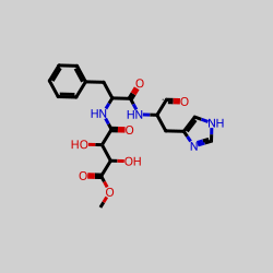 COC(=O)C(O)C(O)C(=O)NC(Cc1ccccc1)C(=O)NC([C]=O)Cc1c[nH]cn1